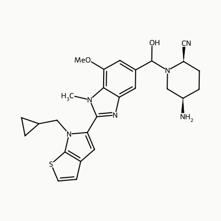 COc1cc(C(O)N2C[C@H](N)CC[C@@H]2C#N)cc2nc(-c3cc4ccsc4n3CC3CC3)n(C)c12